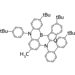 Cc1cc2c3c(c1)N(c1ccccc1-c1ccc(C(C)(C)C)cc1)c1oc4ccc(C(C)(C)C)cc4c1B3c1cc(C(C)(C)C)ccc1N2c1ccc(C(C)(C)C)cc1